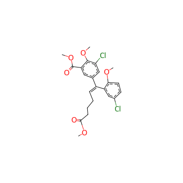 COC(=O)CCCC=C(c1cc(Cl)c(OC)c(C(=O)OC)c1)c1cc(Cl)ccc1OC